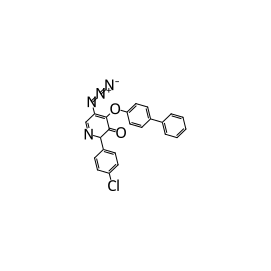 [N-]=[N+]=NC1=C(Oc2ccc(-c3ccccc3)cc2)C(=O)C(c2ccc(Cl)cc2)N=C1